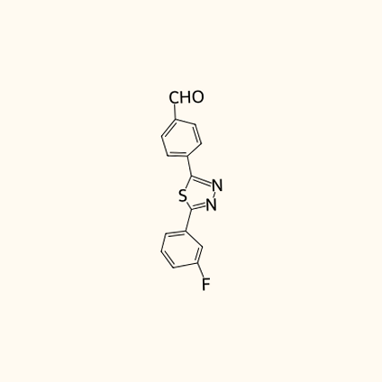 O=Cc1ccc(-c2nnc(-c3cccc(F)c3)s2)cc1